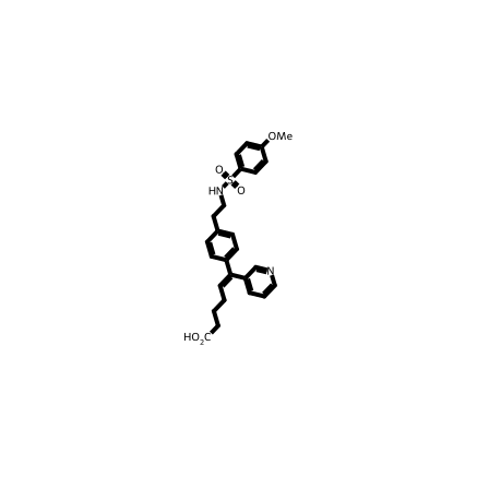 COc1ccc(S(=O)(=O)NCCc2ccc(C(=CCCCC(=O)O)c3cccnc3)cc2)cc1